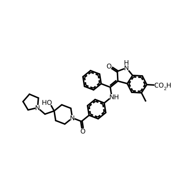 Cc1cc2c(cc1C(=O)O)NC(=O)C2=C(Nc1ccc(C(=O)N2CCC(O)(CN3CCCC3)CC2)cc1)c1ccccc1